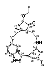 CCO[C@H]1C[C@H]2COc3ccn4ncc(c4n3)-c3cc(F)cc(c3)NCCN2C1=O